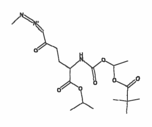 CN=[N+]=CC(=O)CCC(NC(=O)OC(C)OC(=O)C(C)(C)C)C(=O)OC(C)C